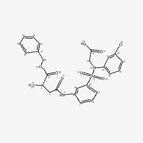 CN(CC(=O)Nc1cccc(S(=O)(=O)N(CC(=O)O)c2cccc(Cl)c2)c1)C(=O)OCc1ccccc1